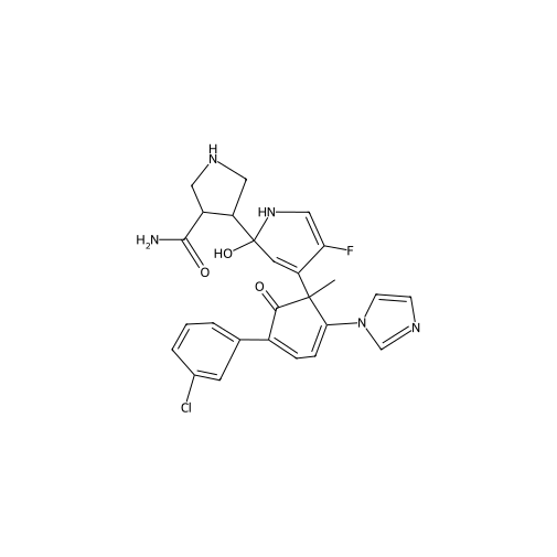 CC1(C2=CC(O)(C3CNCC3C(N)=O)NC=C2F)C(=O)C(c2cccc(Cl)c2)=CC=C1n1ccnc1